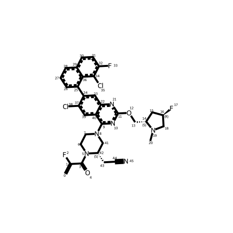 C=C(F)C(=O)N1CCN(c2nc(OC[C@@H]3C[C@@H](F)CN3C)nc3cc(-c4cccc5ccc(F)c(Cl)c45)c(Cl)cc23)C[C@@H]1CC#N